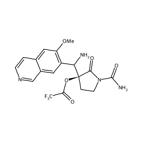 COc1cc2ccncc2cc1C(N)[C@@]1(OC(=O)C(F)(F)F)CCN(C(N)=O)C1=O